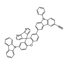 N#Cc1ccc2c(c1)c1cc(-c3ccc4c(c3)C3(c5cc(-n6c7ccccc7c7ccccc76)ccc5O4)c4cccnc4-c4ncccc43)ccc1n2-c1ccccc1